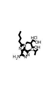 CCCCc1nc2c(N)nnc(OC(C)C)c2n1CC(CO)CO.Cl